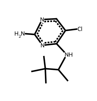 CC(Nc1nc(N)ncc1Cl)C(C)(C)C